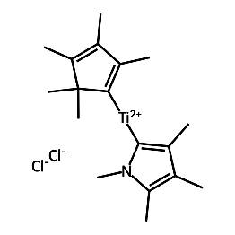 CC1=C(C)C(C)(C)[C]([Ti+2][c]2c(C)c(C)c(C)n2C)=C1C.[Cl-].[Cl-]